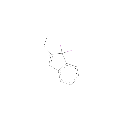 CCC1=Cc2ccccc2C1(I)I